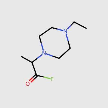 CCN1CCN(C(C)C(=O)F)CC1